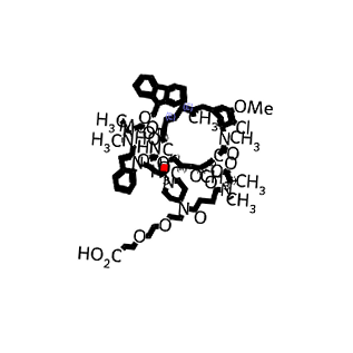 COc1cc2cc(c1Cl)N(C)C(=O)C[C@H](OC(=O)[C@H](C)N(C)C(=O)CCC(=O)N(CCOCCOCCC(=O)O)C1CCN(C(=O)CCn3c(CN(C)N(C)C(=O)OCC4c5ccccc5-c5ccccc54)cc4ccccc43)CC1)[C@]1(C)OC1[C@H](C)[C@@H]1C[C@@](O)(NC(=O)O1)[C@H](OC)/C=C/C=C(\C)C2